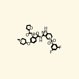 CN1CCC(Oc2ccc(C(=O)Nc3n[nH]c4c3CN(S(=O)(=O)c3cc(F)cc(F)c3)CC4)c(NC(=O)[C@H]3CCCO3)c2)CC1